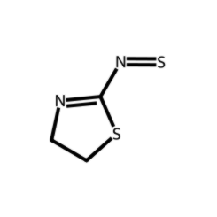 S=NC1=NCCS1